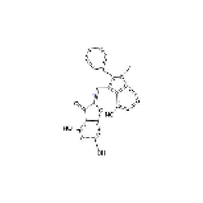 Cn1c(-c2ccccc2)c(/C=C2\Oc3cc(O)cc(O)c3C2=O)c2c(C#N)cccc21